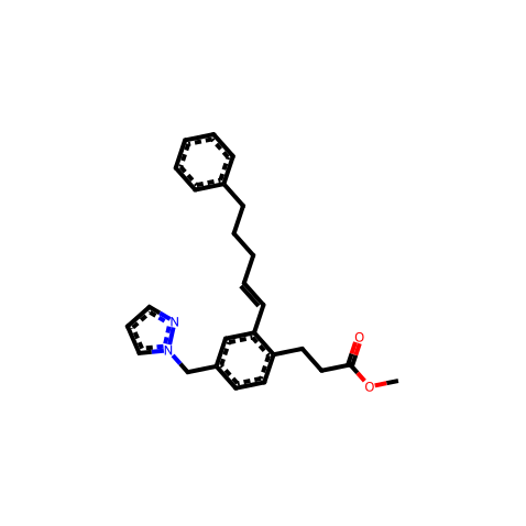 COC(=O)CCc1ccc(Cn2cccn2)cc1C=CCCCc1ccccc1